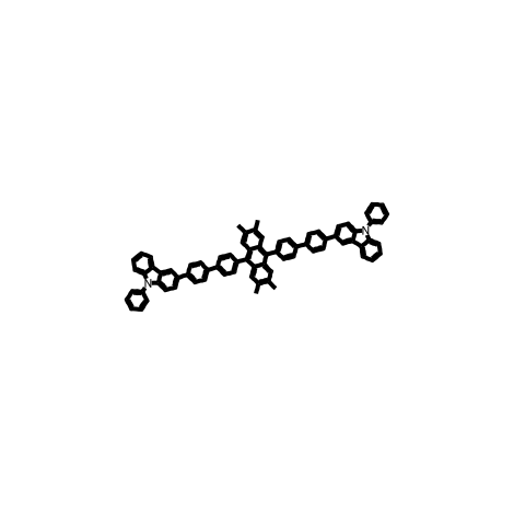 Cc1cc2c(-c3ccc(-c4ccc(-c5ccc6c(c5)c5ccccc5n6-c5ccccc5)cc4)cc3)c3cc(C)c(C)cc3c(-c3ccc(-c4ccc(-c5ccc6c(c5)c5ccccc5n6-c5ccccc5)cc4)cc3)c2cc1C